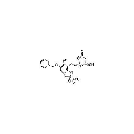 CC(C)c1c(OCc2ccccc2)cc2c(c1CC[C@@H]1C[C@@H](O)CC(=O)O1)OC(C)(C)C2